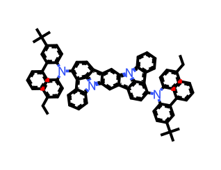 CCc1ccc(N(c2ccc(C(C)(C)C)cc2-c2ccccc2)c2ccc3c4cc5c(cc4n4c6ccccc6c2c34)c2ccc(N(c3ccc(CC)cc3)c3ccc(C(C)(C)C)cc3-c3ccccc3)c3c4ccccc4n5c23)cc1